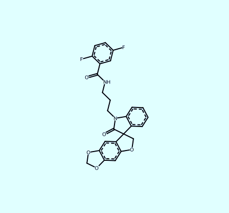 O=C(NCCCN1C(=O)C2(COc3cc4c(cc32)OCO4)c2ccccc21)c1cc(F)ccc1F